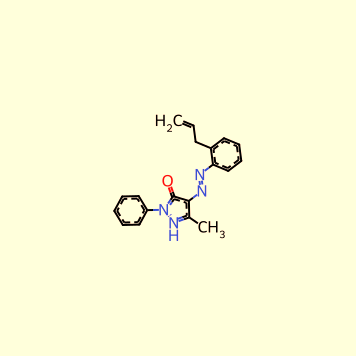 C=CCc1ccccc1N=Nc1c(C)[nH]n(-c2ccccc2)c1=O